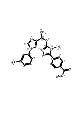 COC(=O)c1ccc(-c2nnc(O[C@H](C)c3nnn(-c4cccc(C)c4)n3)n2C)nc1